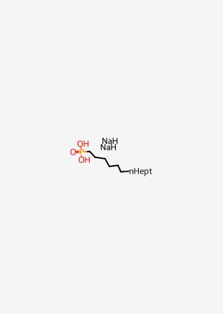 CCCCCCCCCCCCCP(=O)(O)O.[NaH].[NaH]